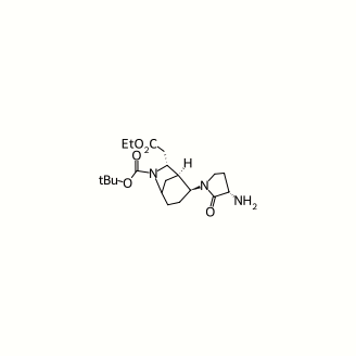 CCOC(=O)C[C@@H]1[C@@H]2CC(CC[C@@H]2N2CC[C@H](N)C2=O)N1C(=O)OC(C)(C)C